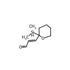 C[SiH](C)C1(C=C[C]=O)CCCCO1